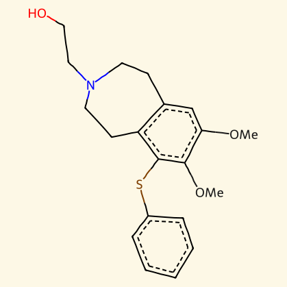 COc1cc2c(c(Sc3ccccc3)c1OC)CCN(CCO)CC2